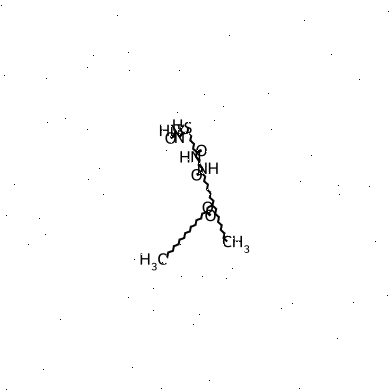 CCCCCCCCCCCCCCCC(=O)OC(CCCCCCCCC)CCCCCCCC(=O)NCCNC(=O)CCCC[C@@H]1SC[C@@H]2NC(=O)N=C21